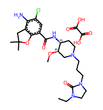 CCN1CCN(CCCN2CC[C@H](NC(=O)c3cc(Cl)c(N)c4c3OC(C)(C)C4)[C@H](OC)C2)C1=O.O=C(O)C(=O)O